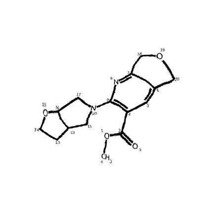 COC(=O)c1cc2c(nc1N1CC3CCOC3C1)COC2